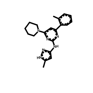 Cc1cc(Nc2nc(-c3ccccc3C)cc(N3CCCCC3)n2)n[nH]1